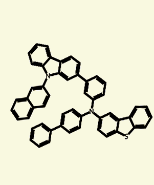 c1ccc(-c2ccc(N(c3cccc(-c4ccc5c6ccccc6n(-c6ccc7ccccc7c6)c5c4)c3)c3ccc4sc5ccccc5c4c3)cc2)cc1